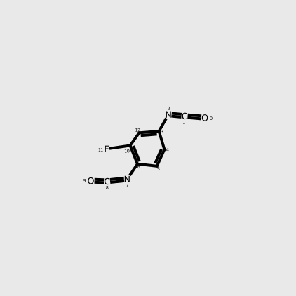 O=C=Nc1ccc(N=C=O)c(F)c1